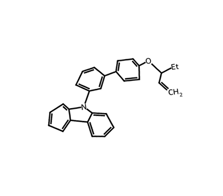 C=CC(CC)Oc1ccc(-c2cccc(-n3c4ccccc4c4ccccc43)c2)cc1